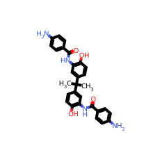 CC(C)(c1ccc(O)c(NC(=O)c2ccc(N)cc2)c1)c1ccc(O)c(NC(=O)c2ccc(N)cc2)c1